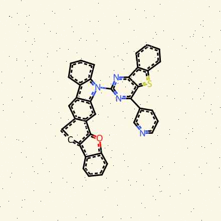 c1cncc(-c2nc(-n3c4ccccc4c4cc5ccc6c7ccccc7oc6c5cc43)nc3c2sc2ccccc23)c1